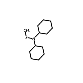 CSN(C1CCCCC1)C1CCCCC1